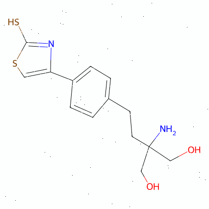 NC(CO)(CO)CCc1ccc(-c2csc(S)n2)cc1